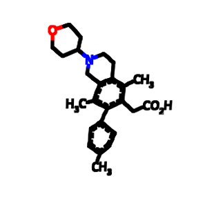 Cc1ccc(-c2c(C)c3c(c(C)c2CC(=O)O)CCN(C2CCOCC2)C3)cc1